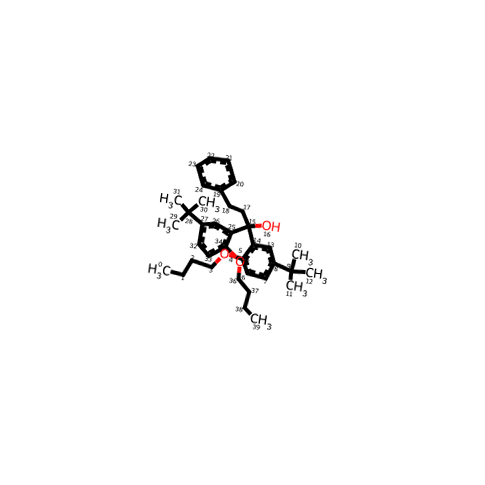 CCCCOc1ccc(C(C)(C)C)cc1C(O)(CCc1ccccc1)c1cc(C(C)(C)C)ccc1OCCCC